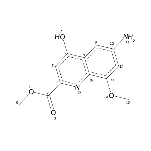 COC(=O)c1cc(O)c2cc(N)cc(OC)c2n1